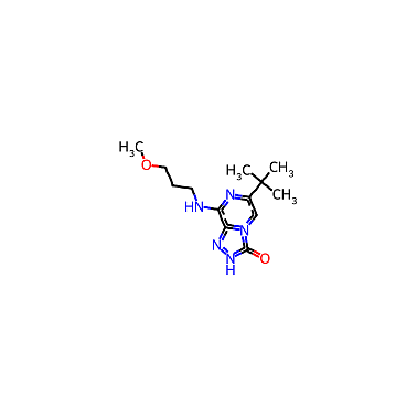 COCCCNc1nc(C(C)(C)C)cn2c(=O)[nH]nc12